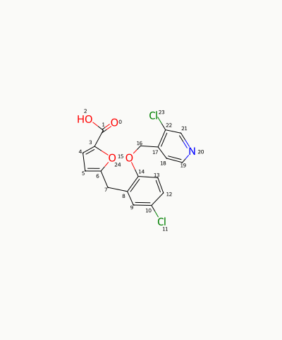 O=C(O)c1ccc(Cc2cc(Cl)ccc2OCc2ccncc2Cl)o1